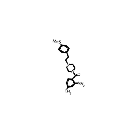 CSc1ccc(CCN2CCN(C(=O)c3ccc(C)cc3N)CC2)cc1